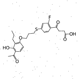 CCCc1c(OCCCSc2ccc(C(=O)CCC(=O)O)c(F)c2)ccc(C(C)=O)c1O